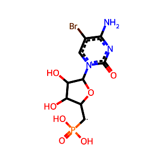 Nc1nc(=O)n(C2OC([CH]P(=O)(O)O)C(O)C2O)cc1Br